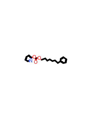 O=C(OCCCCCCCc1ccccc1)Oc1ccccn1